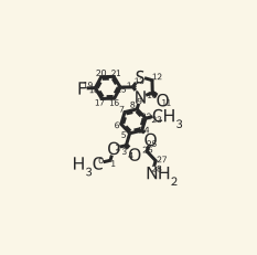 CCOC(=O)c1ccc(N2C(=O)CSC2c2ccc(F)cc2)c(C)c1OCCN